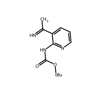 CC(=N)c1cccnc1NC(=O)OC(C)(C)C